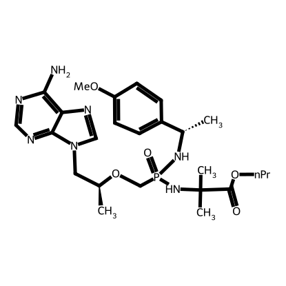 CCCOC(=O)C(C)(C)NP(=O)(CO[C@@H](C)Cn1cnc2c(N)ncnc21)N[C@@H](C)c1ccc(OC)cc1